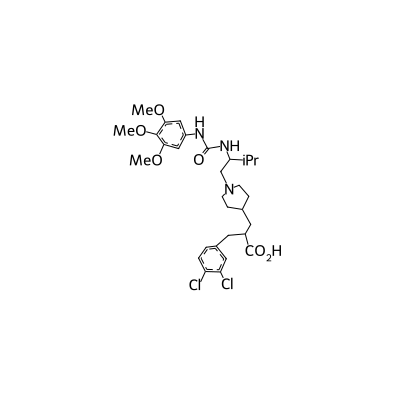 COc1cc(NC(=O)NC(CN2CCC(CC(Cc3ccc(Cl)c(Cl)c3)C(=O)O)CC2)C(C)C)cc(OC)c1OC